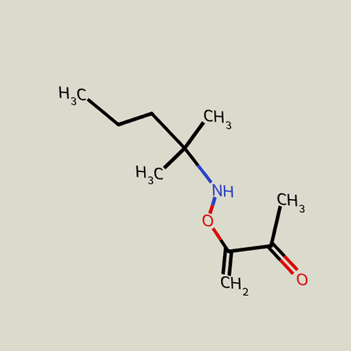 C=C(ONC(C)(C)CCC)C(C)=O